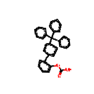 O=C(O)Oc1ccccc1-c1ccc(C(c2ccccc2)(c2ccccc2)c2ccccc2)cc1